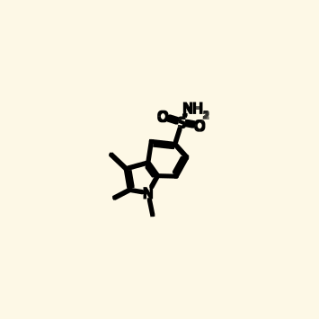 Cc1c(C)n(C)c2ccc(S(N)(=O)=O)cc12